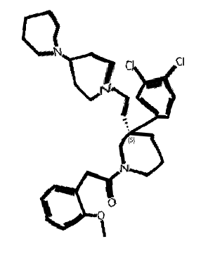 COc1ccccc1CC(=O)N1CCC[C@](CCN2CCC(N3CCCCC3)CC2)(c2ccc(Cl)c(Cl)c2)C1